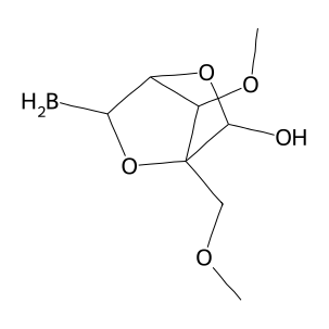 BC1OC2(COC)C(O)OC1C2OC